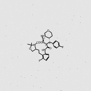 CC1(C)OCC(CCc2c(F)cccc2NC(=O)[C@@H](N=[N+]=N)[C@@H](c2ccc(F)cc2)C2CCOCC2)N1C(=O)[O-]